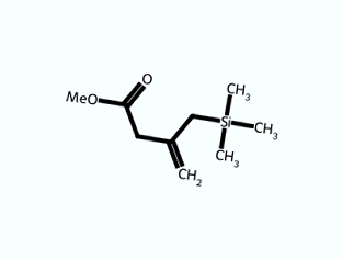 C=C(CC(=O)OC)C[Si](C)(C)C